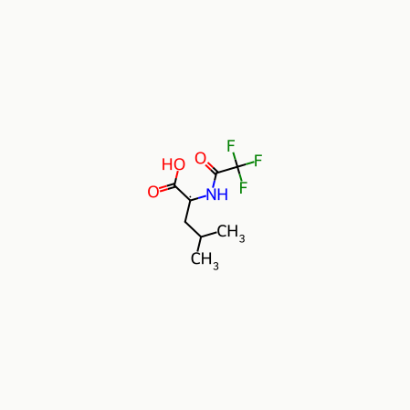 CC(C)C[C](NC(=O)C(F)(F)F)C(=O)O